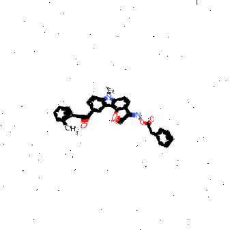 CCn1c2ccc(C(=O)c3ccccc3C)cc2c2c3c(ccc21)/C(=N/OC(=O)Cc1ccccc1)CO3